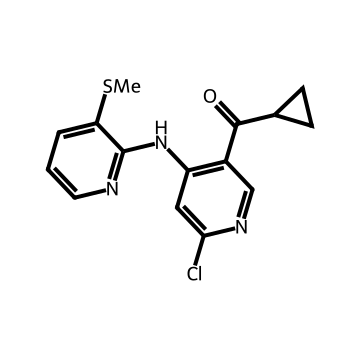 CSc1cccnc1Nc1cc(Cl)ncc1C(=O)C1CC1